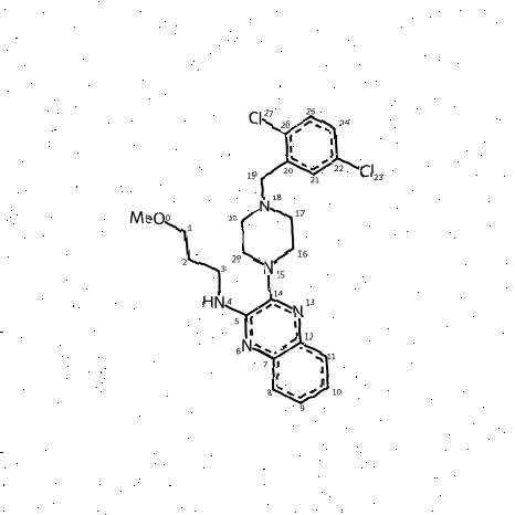 COCCCNc1nc2ccccc2nc1N1CCN(Cc2cc(Cl)ccc2Cl)CC1